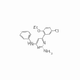 CCOc1ccc(Cl)cc1-c1cc(Nc2cc[c]cc2)nc(N)n1